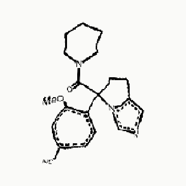 COc1cc(C#N)ccc1C1(C(=O)N2CCCCC2)CCc2cncn21